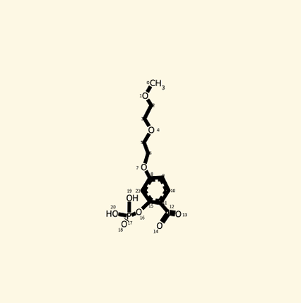 COCCOCCOc1ccc(I(=O)=O)c(OP(=O)(O)O)c1